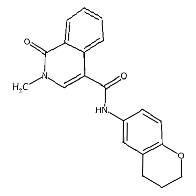 Cn1cc(C(=O)Nc2ccc3c(c2)CCCO3)c2ccccc2c1=O